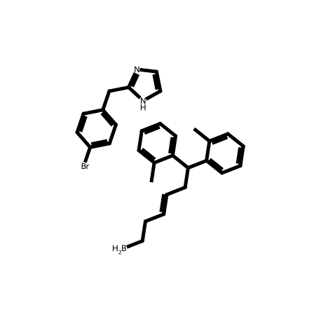 BCCC=CCC(c1ccccc1C)c1ccccc1C.Brc1ccc(Cc2ncc[nH]2)cc1